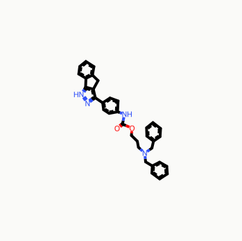 O=C(Nc1ccc(-c2n[nH]c3c2Cc2ccccc2-3)cc1)OCCCN(Cc1ccccc1)Cc1ccccc1